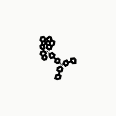 c1ccc(-c2ccc(N(c3ccc(-c4ccccc4)cc3)c3ccc(-c4ccc(N(c5cc6c7c(ccc8cccc(c87)C67c6ccccc6-c6ccccc67)c5)c5cccc6ccccc56)cc4)cc3)cc2)cc1